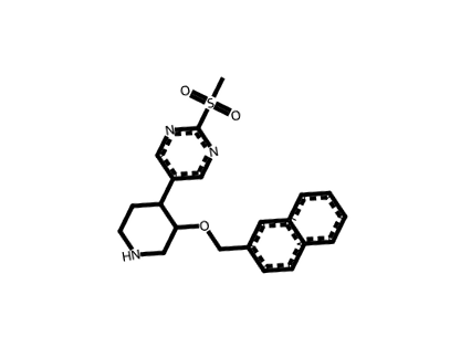 CS(=O)(=O)c1ncc(C2CCNCC2OCc2ccc3ccccc3c2)cn1